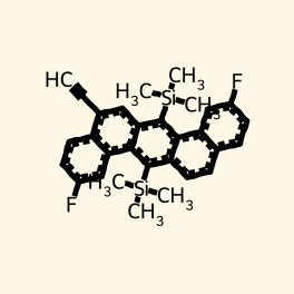 C#Cc1cc2c([Si](C)(C)C)c3c(ccc4ccc(F)cc43)c([Si](C)(C)C)c2c2cc(F)ccc12